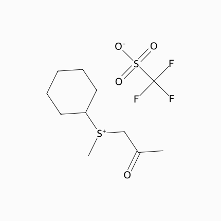 CC(=O)C[S+](C)C1CCCCC1.O=S(=O)([O-])C(F)(F)F